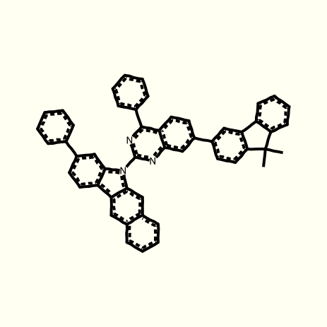 CC1(C)c2ccccc2-c2cc(-c3ccc4c(-c5ccccc5)nc(-n5c6cc(-c7ccccc7)ccc6c6cc7ccccc7cc65)nc4c3)ccc21